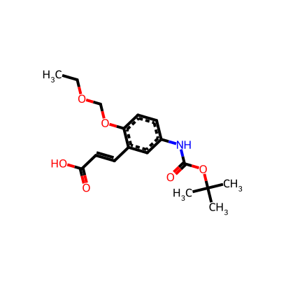 CCOCOc1ccc(NC(=O)OC(C)(C)C)cc1/C=C/C(=O)O